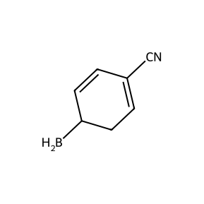 BC1C=CC(C#N)=CC1